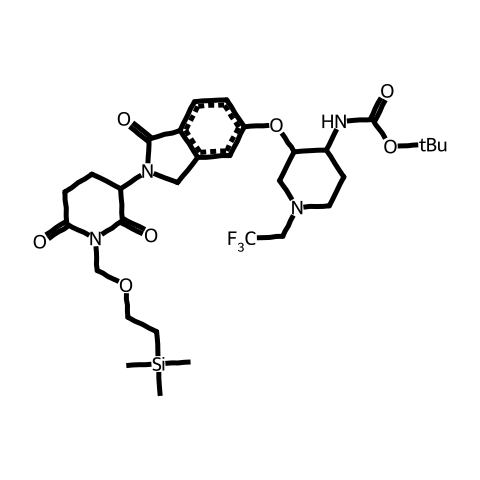 CC(C)(C)OC(=O)NC1CCN(CC(F)(F)F)CC1Oc1ccc2c(c1)CN(C1CCC(=O)N(COCC[Si](C)(C)C)C1=O)C2=O